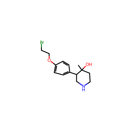 CC1(O)CCNCC1c1ccc(OCCBr)cc1